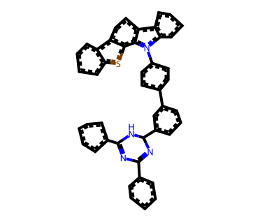 c1ccc(C2=NC(c3cccc(-c4ccc(-n5c6ccccc6c6ccc7c8ccccc8sc7c65)cc4)c3)NC(c3ccccc3)=N2)cc1